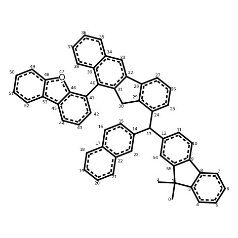 CC1(C)c2ccccc2-c2ccc(C(c3ccc4ccccc4c3)c3cccc4c3Cc3c-4cc4ccccc4c3-c3cccc4c3oc3ccccc34)cc21